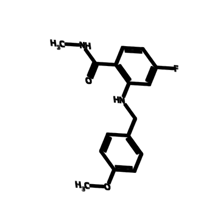 CNC(=O)c1ccc(F)cc1NCc1ccc(OC)cc1